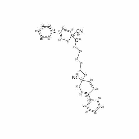 N#CC1(CCCCCCOC2(C#N)C=CC(c3ccccc3)=CC2)C=CC(c2ccccc2)=CC1